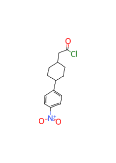 O=C(Cl)CC1CCC(c2ccc([N+](=O)[O-])cc2)CC1